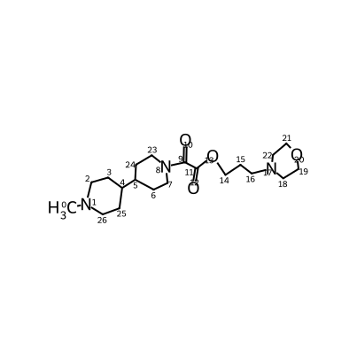 CN1CCC(C2CCN(C(=O)C(=O)OCCCN3CCOCC3)CC2)CC1